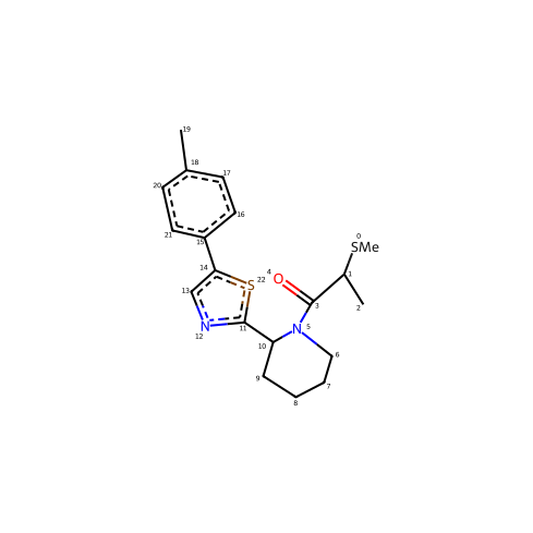 CSC(C)C(=O)N1CCCCC1c1ncc(-c2ccc(C)cc2)s1